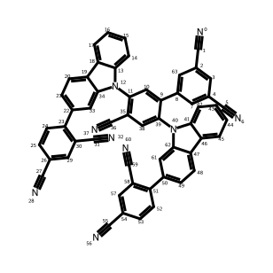 N#Cc1cc(C#N)cc(-c2cc(-n3c4ccccc4c4ccc(-c5ccc(C#N)cc5C#N)cc43)c(C#N)cc2-n2c3ccccc3c3ccc(-c4ccc(C#N)cc4C#N)cc32)c1